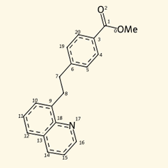 COC(=O)c1ccc(CCc2cccc3cccnc23)cc1